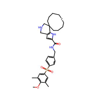 COc1c(C)cc(S(=O)(=O)c2ccc(CNC(=O)c3cc4c([nH]3)C3(CCCCCCCCC3)CNC4)cc2)cc1C